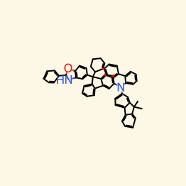 CC1(C)c2ccccc2-c2ccc(N(c3ccc4c(c3)-c3ccccc3C4(c3ccc4c(c3)NC(c3ccccc3)O4)C3C=CCCC3)c3ccccc3-c3ccccc3)cc21